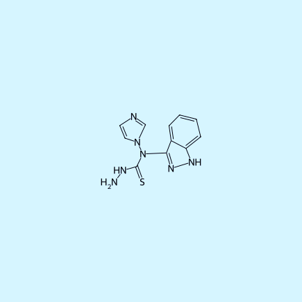 NNC(=S)N(c1n[nH]c2ccccc12)n1ccnc1